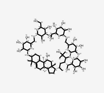 CC(CCC(O[C@H]1OC(CO[C@H]2OC(CO)[C@H](O)[C@H](O)C2O)[C@H](O)[C@H](O)C1O[C@H]1OC(CO)[C@H](O)[C@H](O)C1O)C(C)(C)O)[C@@H]1CC[C@@]2(C)C3CC=C4C(CCC(O[C@@H]5OC(CO[C@@H]6OC(CO)[C@@H](O)[C@@H](O)C6O)[C@@H](O)[C@@H](O)C5O)C4(C)C)[C@@]3(C)[C@H](O)CC12C